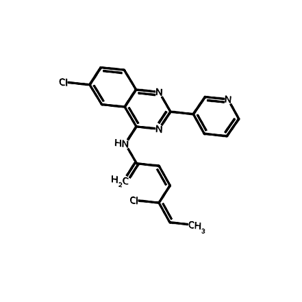 C=C(/C=C\C(Cl)=C/C)Nc1nc(-c2cccnc2)nc2ccc(Cl)cc12